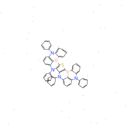 c1ccc(N2c3ccccc3B3c4sc5c(c4N(c4ccccc4)c4cccc2c43)N(c2ccccc2)c2cccc3c2B5c2ccccc2N3c2ccccc2)cc1